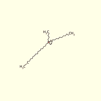 CCCCCCCCCCCCCCCCCCN1C=CN(CCCCCCCCCCC)C1CCCCC